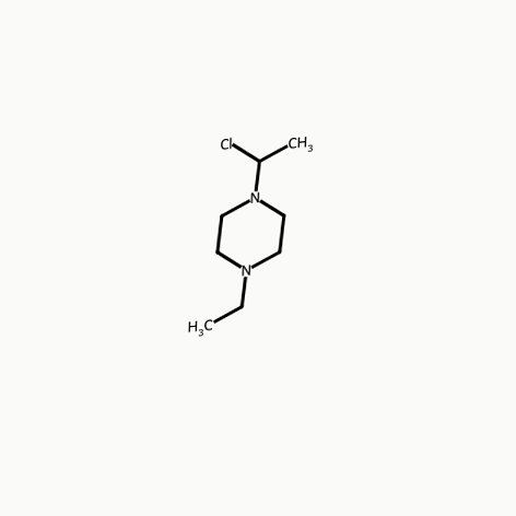 CCN1CCN(C(C)Cl)CC1